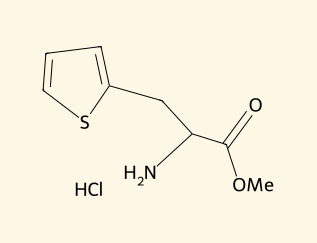 COC(=O)C(N)Cc1cccs1.Cl